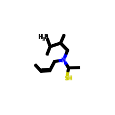 BC(C)C(C)CN(C/C=C\C)C(C)S